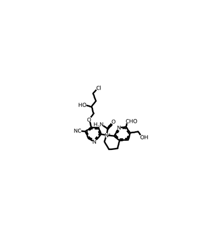 N#Cc1cnc([N+]2(C(N)=O)CCCc3cc(CO)c(C=O)nc32)cc1OCC(O)CCCl